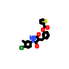 Cc1cc(N2NC(=O)/C(=C\c3cccc(OC(=O)c4cccs4)c3)C2=O)ccc1Cl